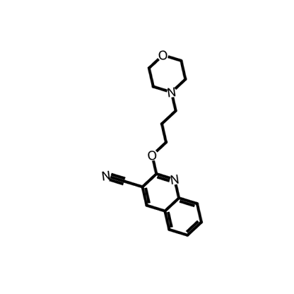 N#Cc1cc2ccccc2nc1OCCCN1CCOCC1